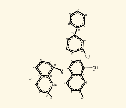 Cc1ccc2cccc(O)c2n1.Cc1ccc2cccc(O)c2n1.Oc1cccc(-c2ccccc2)c1.[Al]